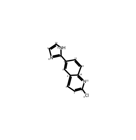 Clc1ccc2cc(-c3ncc[nH]3)ccc2n1